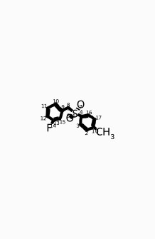 Cc1ccc(S(=O)(=O)[CH]c2cccc(F)c2)cc1